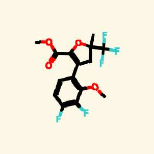 COC(=O)C1=C(c2ccc(F)c(F)c2OC)CC(C)(C(F)(F)F)O1